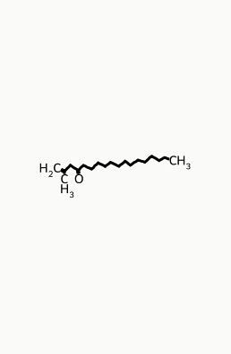 C=C(C)CC(=O)CCCCCCCCCCCCCC